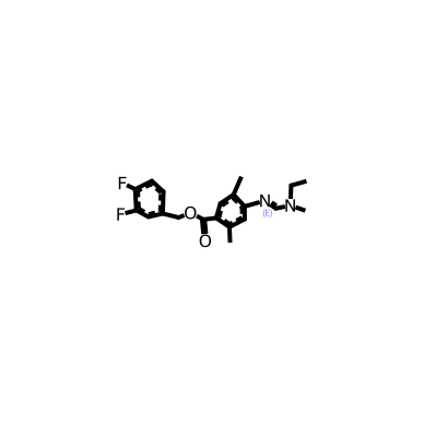 CCN(C)/C=N/c1cc(C)c(C(=O)OCc2ccc(F)c(F)c2)cc1C